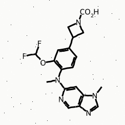 CN(c1cc2c(cn1)ncn2C)c1ccc(C2CN(C(=O)O)C2)cc1OC(F)F